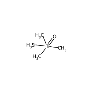 [CH3][Ti]([CH3])([CH3])(=[O])[SiH3]